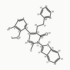 COc1c(F)cccc1-c1nc(C)n(-c2cc3ccccc3s2)c(=O)c1CCc1ccccc1